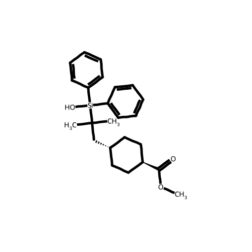 COC(=O)[C@H]1CC[C@H](CC(C)(C)[Si](O)(c2ccccc2)c2ccccc2)CC1